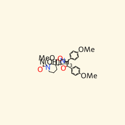 COC(=O)C1(c2nc(-c3ccc(OC)cc3)c(-c3ccc(OC)cc3)o2)CCCN(C(=O)N(C)O)C1